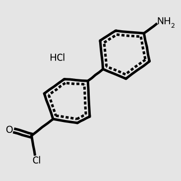 Cl.Nc1ccc(-c2ccc(C(=O)Cl)cc2)cc1